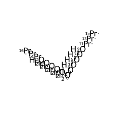 O.O.O.O.O.O.O.O.O.O.O.[Pr].[Pr].[Pr].[Pr].[Pr].[Pr]